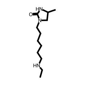 CCNCCCCCCN1CC(C)NC1=O